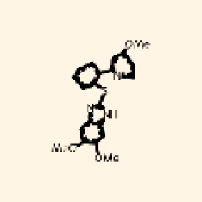 COc1ccnc(-c2ccccc2Sc2nc3cc(OC)c(OC)cc3[nH]2)c1